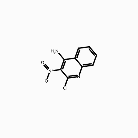 Nc1c([N+](=O)[O-])c(Cl)nc2ccccc12